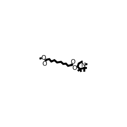 COC(=O)CCCCCCCCC(=O)OC1CCN(C)C(C)(C)C1(C)C